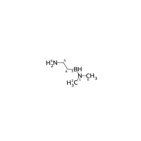 CN(C)BCCN